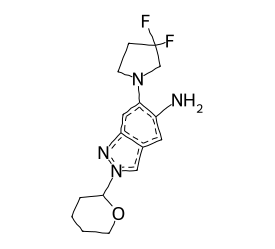 Nc1cc2cn(C3CCCCO3)nc2cc1N1CCC(F)(F)C1